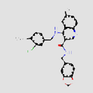 COc1ccc(CNc2c(C(=O)NCc3ccc4c(c3)OCO4)cnc3ccc(C#N)cc23)cc1Cl